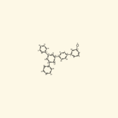 Clc1cccc(-c2ccc(-c3nc(-c4ccccc4)nc(-c4ccccc4)n3)cc2)c1